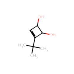 CC(C)(C)C1=CC(O)C1O